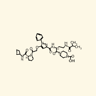 CC(C)C(=O)NCC[C@H]([AsH]C(=O)c1cc(OCC(=O)N2CCC[C@H]2C(=O)NC2CCC2)n(-c2ccccc2)n1)C(=O)N1CCN(C(=O)O)CC1